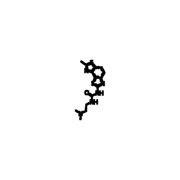 Cc1nc2c(ccc3nc(NC(=O)NCCN(C)C)sc32)s1